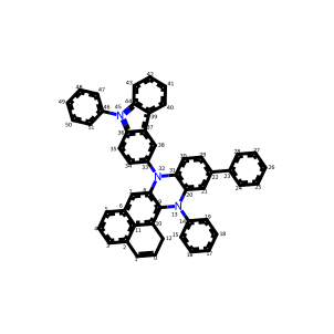 C1=Cc2cccc3cc4c(c(c23)C1)N(c1ccccc1)c1cc(-c2ccccc2)ccc1N4c1ccc2c(c1)c1ccccc1n2-c1ccccc1